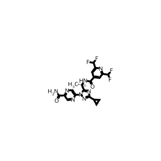 C[C@H](NC(=O)c1cc(C(F)F)nc(C(F)F)c1)c1nc(C2CC2)nn1-c1cnc(C(N)=O)cn1